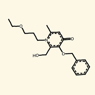 CCOCCCn1c(C)cc(=O)c(OCc2ccccc2)c1CO